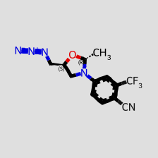 C[C@H]1O[C@H](CN=[N+]=[N-])CN1c1ccc(C#N)c(C(F)(F)F)c1